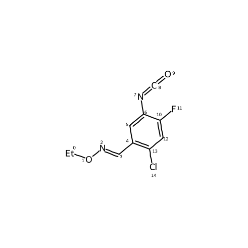 CCON=Cc1cc(N=C=O)c(F)cc1Cl